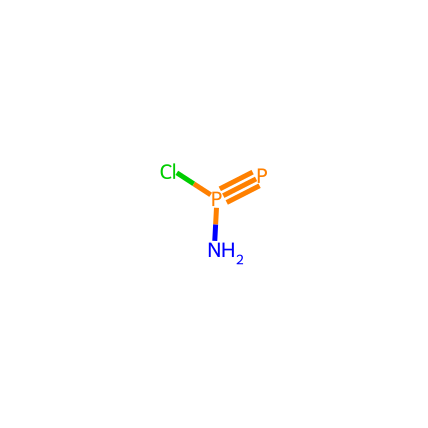 NP(#P)Cl